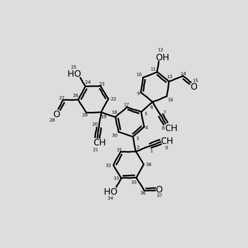 C#CC1(c2cc(C3(C#C)C=CC(O)=C(C=O)C3)cc(C3(C#C)C=CC(O)=C(C=O)C3)c2)C=CC(O)=C(C=O)C1